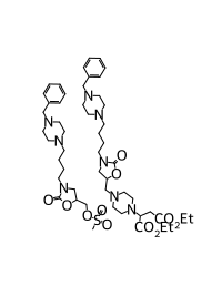 CCOC(=O)CC(C(=O)OCC)N1CCN(CC2CN(CCCCN3CCN(Cc4ccccc4)CC3)C(=O)O2)CC1.CS(=O)(=O)OCC1CN(CCCCN2CCN(Cc3ccccc3)CC2)C(=O)O1